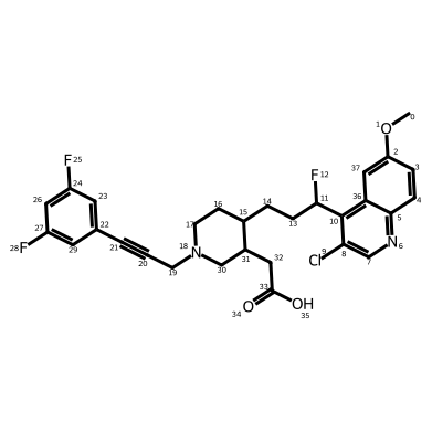 COc1ccc2ncc(Cl)c(C(F)CCC3CCN(CC#Cc4cc(F)cc(F)c4)CC3CC(=O)O)c2c1